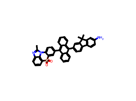 Cc1nc2cccc3c2n1-c1ccc(-c2c4ccccc4c(-c4ccc5c(c4)C(C)(C)c4cc(N)ccc4-5)c4ccccc24)cc1S3(=O)=O